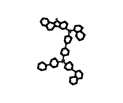 c1ccc(-c2ccc(N(c3ccc(-c4ccc(N(c5ccc6sc7c8ccccc8ccc7c6c5)c5cccc6ccccc56)cc4)cc3)c3ccc(-c4cccc5ccccc45)cc3)cc2)cc1